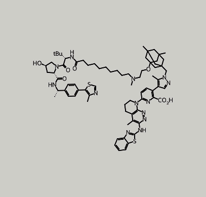 Cc1ncsc1-c1ccc([C@H](C)NC(=O)[C@@H]2C[C@@H](O)CN2C(=O)[C@@H](NC(=O)CCCCCCCCCN(C)CCOC23CC4(C)CC(C)(CC(Cn5ncc(-c6ccc(N7CCCc8c7nnc(Nc7nc9ccccc9s7)c8C)nc6C(=O)O)c5C)(C4)C2)C3)C(C)(C)C)cc1